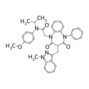 COc1ccc(N(C(=O)CN2C(=O)C(Cc3nn(C)c4ccccc34)C(=O)N(c3ccccc3)c3ccccc32)C(C)C)cc1